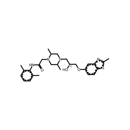 Cc1nc2cc(OC[C@@H](O)CN3CC(C)N(CC(=O)Nc4c(C)cccc4C)CC3C)ccc2s1